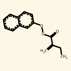 C=C(CC)C(=O)OOc1ccc2ccccc2c1